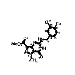 COC(=O)c1nn(C)c2c(=O)[nH]c(NCc3ccc(Cl)c(Cl)c3)nc12